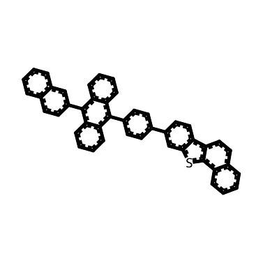 c1ccc2cc(-c3c4ccccc4c(-c4ccc(-c5ccc6c(c5)sc5c7ccccc7ccc65)cc4)c4ccccc34)ccc2c1